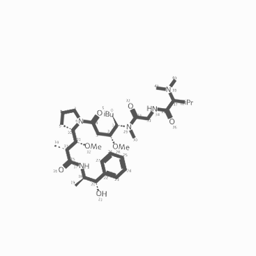 CC[C@H](C)[C@@H]([C@@H](CC(=O)N1CCC[C@H]1[C@H](OC)[C@@H](C)C(=O)N[C@H](C)[C@@H](O)c1ccccc1)OC)N(C)C(=O)CNC(=O)C(C(C)C)N(C)C